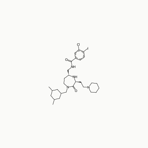 CC1CC(C)CC(CN2CC[C@@H](CNC(=O)c3ccc(I)c(Cl)c3)N[C@@H](CCN3CCCCC3)C2=O)C1